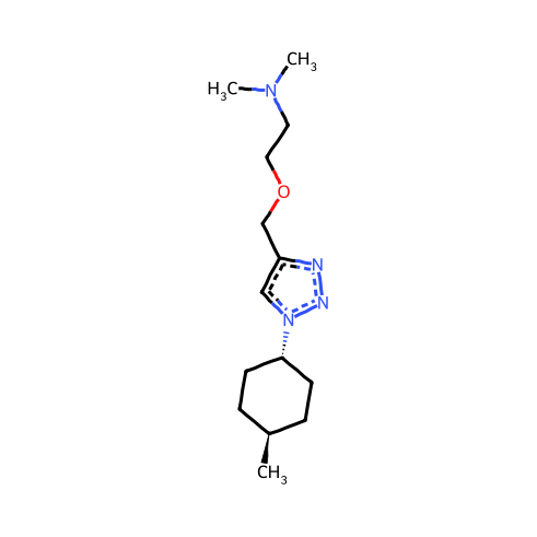 CN(C)CCOCc1cn([C@H]2CC[C@H](C)CC2)nn1